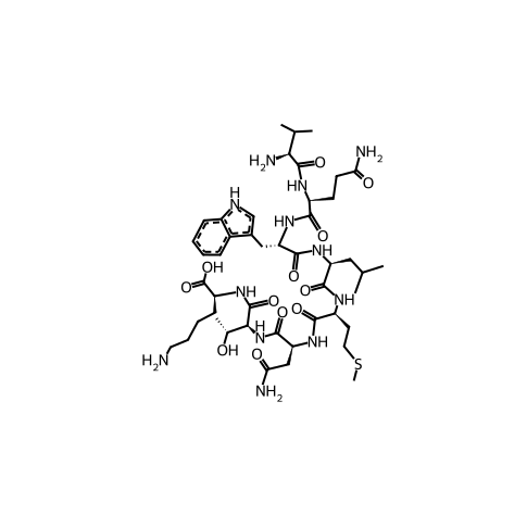 CSCC[C@H](NC(=O)[C@H](CC(C)C)NC(=O)[C@H](Cc1c[nH]c2ccccc12)NC(=O)[C@H](CCC(N)=O)NC(=O)[C@@H](N)C(C)C)C(=O)N[C@@H](CC(N)=O)C(=O)N[C@H](C(=O)N[C@@H](CCCCN)C(=O)O)[C@@H](C)O